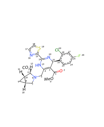 COC(=O)C1=C(CN2C[C@@H]3C[C@@H]3[C@H]2C(=O)O)NC(c2nccs2)=N[C@H]1c1ccc(F)cc1Cl